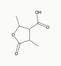 CC1OC(=O)C(C)C1C(=O)O